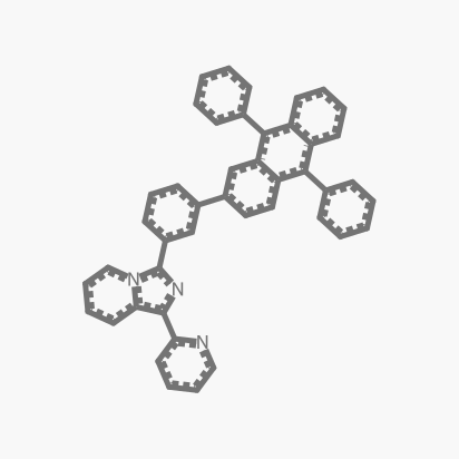 c1ccc(-c2c3ccccc3c(-c3ccccc3)c3cc(-c4cccc(-c5nc(-c6ccccn6)c6ccccn56)c4)ccc23)cc1